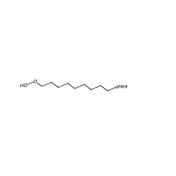 CCCCCCCCCCCCCCCOO